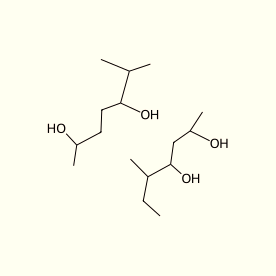 CC(O)CCC(O)C(C)C.CCC(C)C(O)CC(C)O